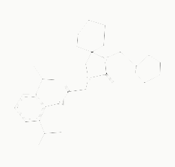 CC(C)c1cccc(C(C)C)c1NC(=O)CN1CC2(CCCCC2)N(CC2CCCCC2)C1=O